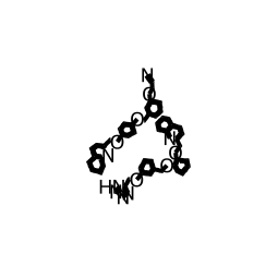 N#CCOc1cccc(COc2ccc(OCc3ccc4ccccc4n3)cc2)c1.c1cc(COc2ccccc2OCc2ccc3ccccc3n2)cc(OCc2nnn[nH]2)c1